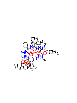 CCCC[C@H](NC(=O)[C@@H]1[C@@H](C)[C@@H](C)CN1C(=O)[C@@H](NC(=O)NC1(CS(=O)(=O)C(C)(C)C)CCCCC1)C1CCCCC1)C(=O)C(=O)NC1CC1